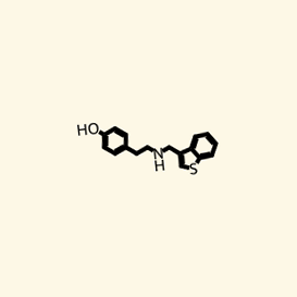 Oc1ccc(CCNCc2csc3ccccc23)cc1